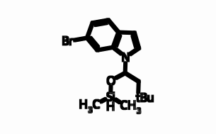 C[SiH](C)OC(CC(C)(C)C)n1ccc2ccc(Br)cc21